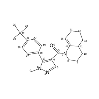 Cn1ncc(C(=O)N2CCCC3CCCC=C32)c1-c1ccc(C(C)(C)C)cc1